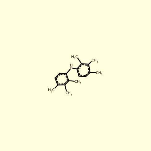 Cc1ccc(Pc2ccc(C)c(C)c2C)c(C)c1C